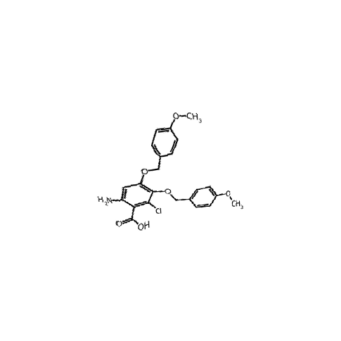 COc1ccc(COc2cc(N)c(C(=O)O)c(Cl)c2OCc2ccc(OC)cc2)cc1